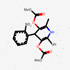 CCCC1=C(OC(=O)OC)C(c2ccccc2[N+](=O)[O-])C(OC(=O)OC)=C(C)N1